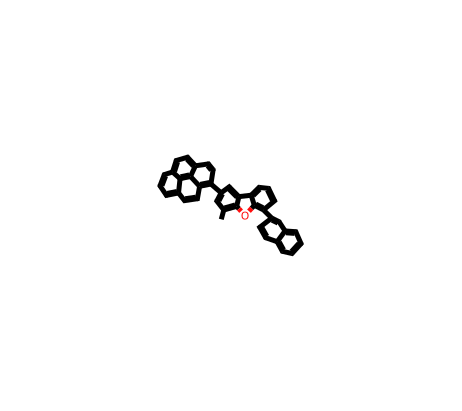 Cc1cc(-c2ccc3ccc4cccc5ccc2c3c45)cc2c1oc1c(-c3ccc4ccccc4c3)cccc12